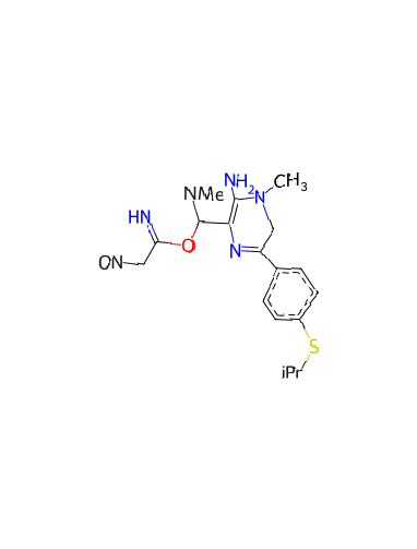 CNC(OC(=N)CN=O)C1=C(N)N(C)CC(c2ccc(SC(C)C)cc2)=N1